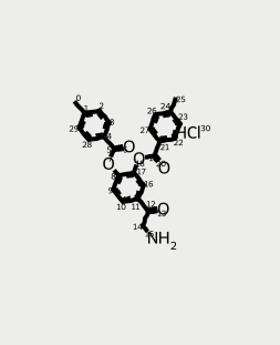 Cc1ccc(C(=O)Oc2ccc(C(=O)CN)cc2OC(=O)c2ccc(C)cc2)cc1.Cl